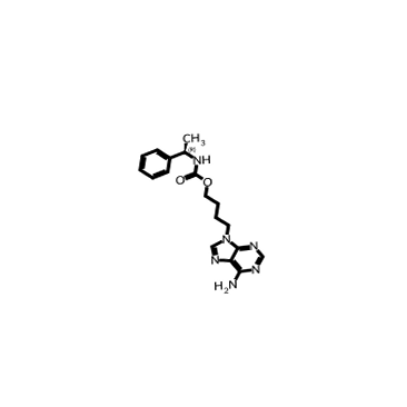 C[C@@H](NC(=O)OCCCCn1cnc2c(N)ncnc21)c1ccccc1